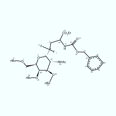 CCCCOC[C@H]1O[C@H](C(F)(F)CC(NC(=O)OCc2ccccc2)C(=O)OCC)[C@H](NC(C)=O)[C@@H](OCCCC)[C@H]1OCCCC